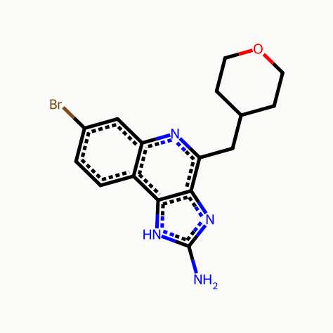 Nc1nc2c(CC3CCOCC3)nc3cc(Br)ccc3c2[nH]1